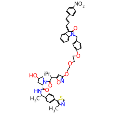 Cc1ncsc1-c1ccc([C@H](C)NC(=O)[C@@H]2C[C@@H](O)CN2C(=O)C(c2cc(OCCOCCOc3ccc(CN4C(=O)C(=C/C=C/c5ccc([N+](=O)[O-])cc5)c5ccccc54)cc3)no2)C(C)C)cc1